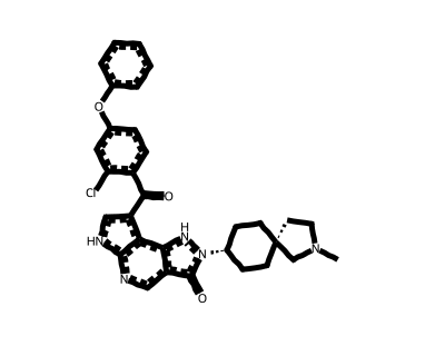 CN1CC[C@]2(CC[C@@H](n3[nH]c4c(cnc5[nH]cc(C(=O)c6ccc(Oc7ccccc7)cc6Cl)c54)c3=O)CC2)C1